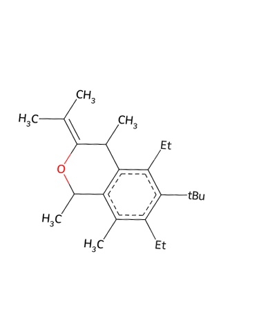 CCc1c(C)c2c(c(CC)c1C(C)(C)C)C(C)C(=C(C)C)OC2C